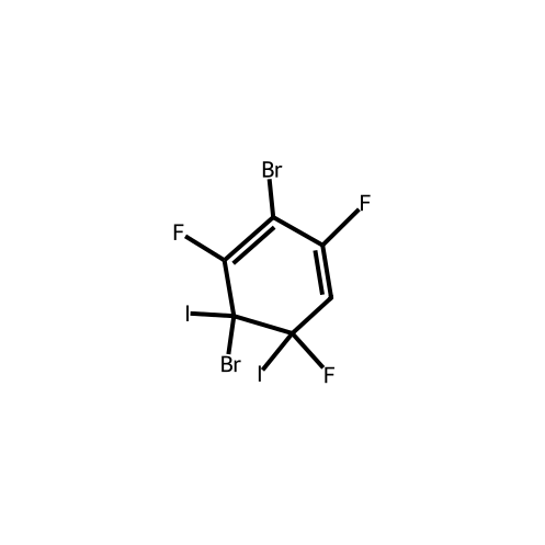 FC1=CC(F)(I)C(Br)(I)C(F)=C1Br